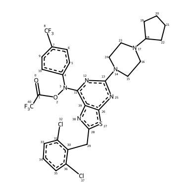 O=C(ON(c1ccc(C(F)(F)F)cc1)c1nc(N2CCN(C3CCCC3)CC2)nc2sc(Cc3c(Cl)cccc3Cl)nc12)C(F)(F)F